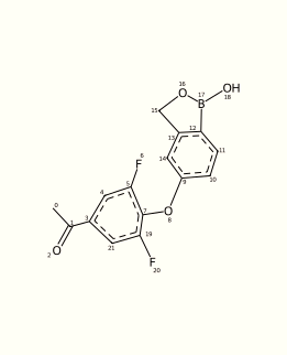 CC(=O)c1cc(F)c(Oc2ccc3c(c2)COB3O)c(F)c1